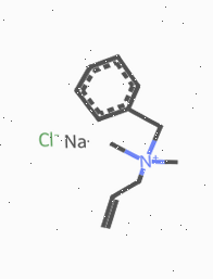 C=CC[N+](C)(C)Cc1ccccc1.[Cl-].[Na]